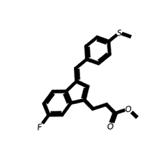 COC(=O)CCC1=C/C(=C\c2ccc(SC)cc2)c2ccc(F)cc21